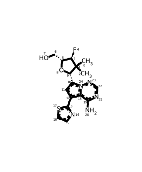 CC1(C)[C@H](F)[C@@H](CO)O[C@H]1c1cc(-c2nccs2)c2c(N)ncnn12